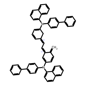 C=c1ccc(N(c2ccc(-c3ccccc3)cc2)c2cccc3ccccc23)c/c1=C/C=C1\C=CC=C(N(c2ccc(-c3ccccc3)cc2)c2cccc3ccccc23)C1